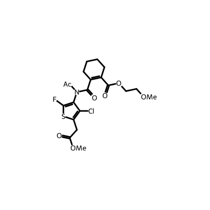 COCCOC(=O)C1=C(C(=O)N(C(C)=O)c2c(F)sc(CC(=O)OC)c2Cl)CCCC1